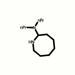 CCCN(CCC)C1CCCCCCN1